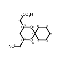 N#CC[C@H]1C[C@@H](CC(=O)O)OC2(CCCCC2)O1